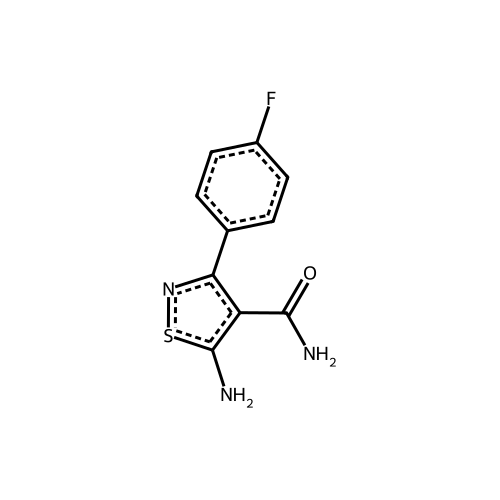 NC(=O)c1c(-c2ccc(F)cc2)nsc1N